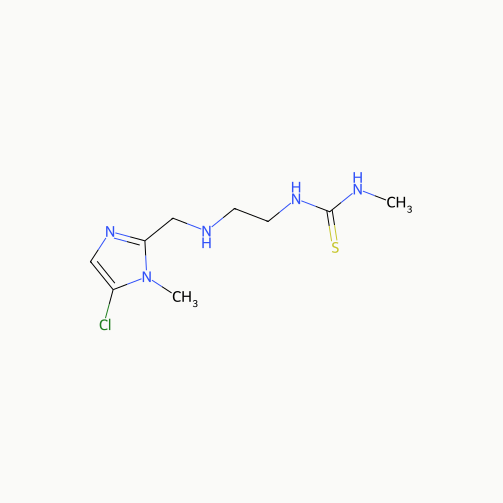 CNC(=S)NCCNCc1ncc(Cl)n1C